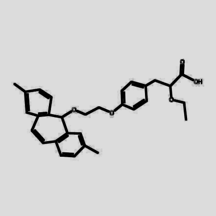 CCOC(Cc1ccc(OCCOC2c3ccc(C)cc3C=Cc3ccc(C)cc32)cc1)C(=O)O